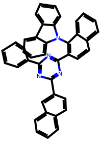 c1ccc(-c2nc(-c3ccc4ccccc4c3)nc(-c3ccc4ccccc4c3-n3c4ccccc4c4ccccc43)n2)cc1